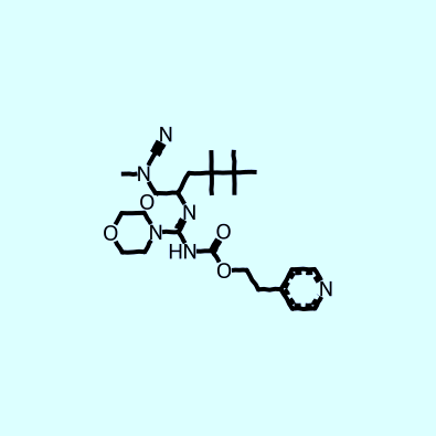 CN(C#N)C(=O)C(CC(C)(C)C(C)(C)C)N=C(NC(=O)OCCc1ccncc1)N1CCOCC1